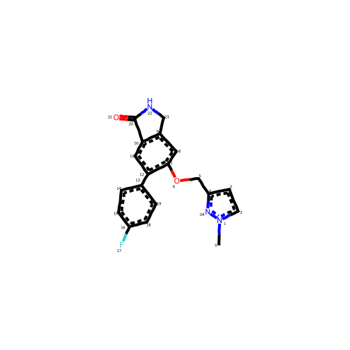 Cn1ccc(COc2cc3c(cc2-c2ccc(F)cc2)C(=O)NC3)n1